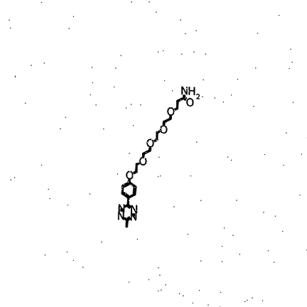 Cc1nnc(-c2ccc(OCCOCCOCCOCCOCCC(N)=O)cc2)nn1